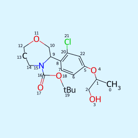 CC(CO)Oc1ccc(C2COCCCN2C(=O)OC(C)(C)C)c(Cl)c1